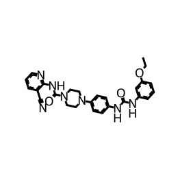 CCOc1cccc(NC(=O)Nc2ccc(N3CCN(C(=O)Nc4ncccc4C#N)CC3)cc2)c1